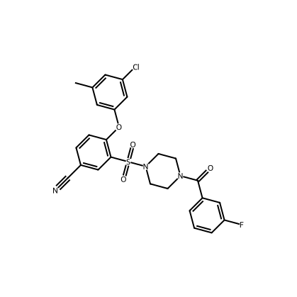 Cc1cc(Cl)cc(Oc2ccc(C#N)cc2S(=O)(=O)N2CCN(C(=O)c3cccc(F)c3)CC2)c1